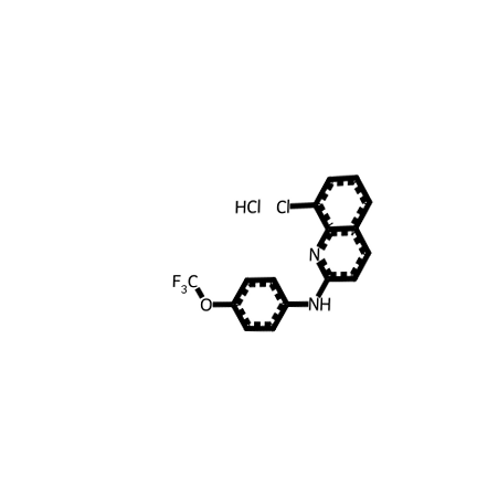 Cl.FC(F)(F)Oc1ccc(Nc2ccc3cccc(Cl)c3n2)cc1